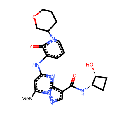 CNc1cc(Nc2cccn([C@@H]3CCCOC3)c2=O)nc2c(C(=O)N[C@H]3CC[C@H]3O)cnn12